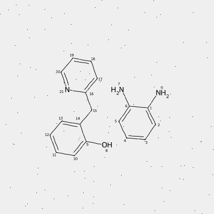 Nc1ccccc1N.Oc1ccccc1Cc1ccccn1